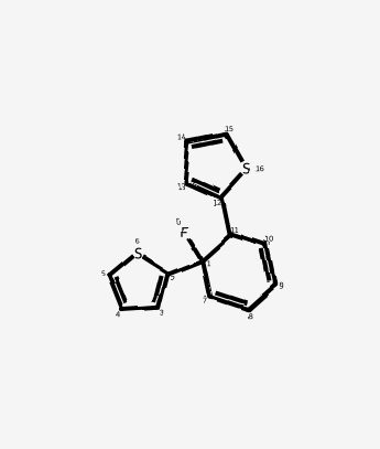 FC1(c2cccs2)[C]=CC=[C]C1c1cccs1